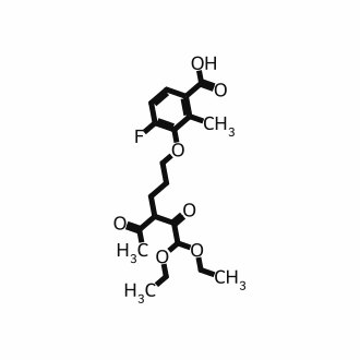 CCOC(OCC)C(=O)C(CCCOc1c(F)ccc(C(=O)O)c1C)C(C)=O